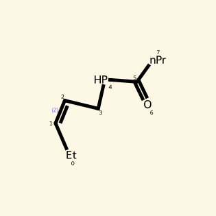 CC/C=C\CPC(=O)CCC